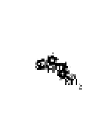 CC1(C)CC(c2cccc(N3CCOCC3)c2)Nc2ccc(C(N)=O)cc21